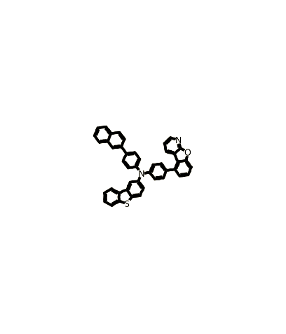 c1ccc2cc(-c3ccc(N(c4ccc(-c5cccc6oc7ncccc7c56)cc4)c4ccc5sc6ccccc6c5c4)cc3)ccc2c1